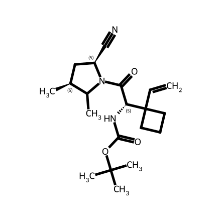 C=CC1([C@H](NC(=O)OC(C)(C)C)C(=O)N2C(C)[C@@H](C)C[C@H]2C#N)CCC1